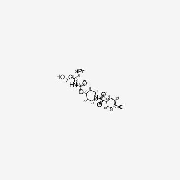 CC(C)CC(NC(=O)OC1CCN(S(=O)(=O)c2ccc(Cl)cc2)CC1)C(=O)O